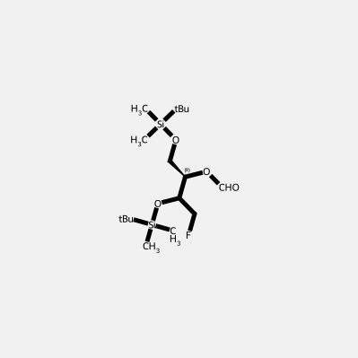 CC(C)(C)[Si](C)(C)OC[C@@H](OC=O)C(CF)O[Si](C)(C)C(C)(C)C